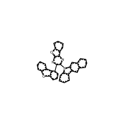 c1ccc2cc3c(cc2c1)c1ccccc1n3-c1nc2c(nc1-c1cccc3oc4ccccc4c13)oc1ccccc12